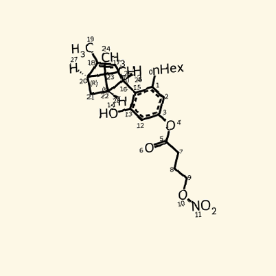 CCCCCCc1cc(OC(=O)CCCO[N+](=O)[O-])cc(O)c1[C@H]1C=C(C)[C@@H]2C[C@@H]1C2(C)C